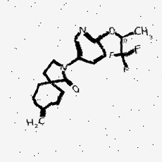 C=C1CCC2(CC1)CCN(c1ccc(O[C@@H](C)C(F)(F)F)nc1)C2=O